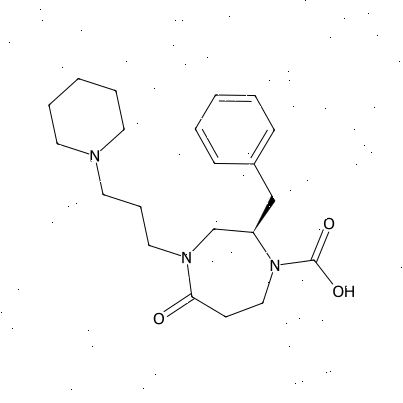 O=C1CCN(C(=O)O)[C@H](Cc2ccccc2)CN1CCCN1CCCCC1